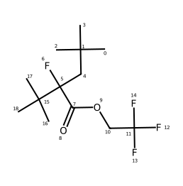 CC(C)(C)CC(F)(C(=O)OCC(F)(F)F)C(C)(C)C